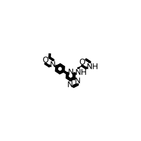 CC1CN(c2ccc(-c3cc4nccnc4c(NC[C@@H]4CNCCO4)n3)cc2)CCO1